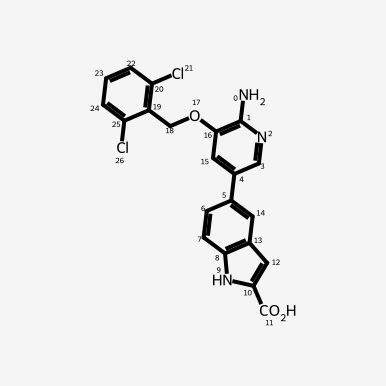 Nc1ncc(-c2ccc3[nH]c(C(=O)O)cc3c2)cc1OCc1c(Cl)cccc1Cl